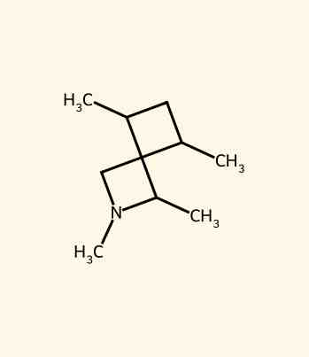 CC1CC(C)C12CN(C)C2C